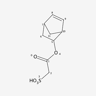 O=C(CS(=O)(=O)O)OC1CC2C=CC1C2